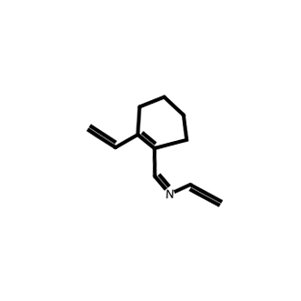 C=C/N=C\C1=C(C=C)CCCC1